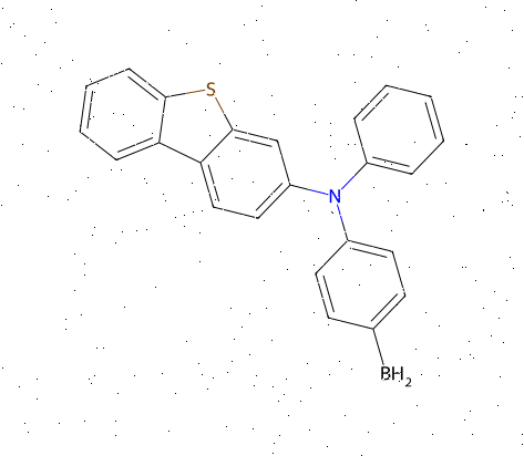 Bc1ccc(N(c2ccccc2)c2ccc3c(c2)sc2ccccc23)cc1